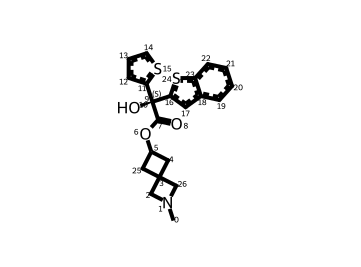 CN1CC2(CC(OC(=O)[C@](O)(c3cccs3)c3cc4ccccc4s3)C2)C1